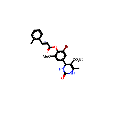 CCOC(=O)C1=C(C)NC(=O)NC1c1cc(Br)c(OC(=O)/C=C/c2ccccc2C)c(OC)c1